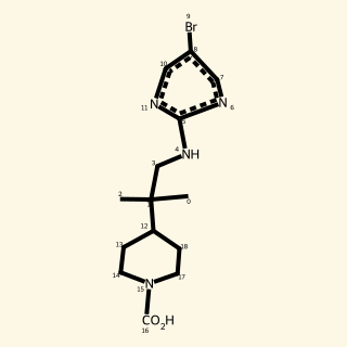 CC(C)(CNc1ncc(Br)cn1)C1CCN(C(=O)O)CC1